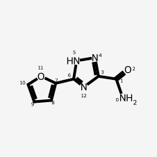 NC(=O)c1n[nH]c(-c2ccco2)n1